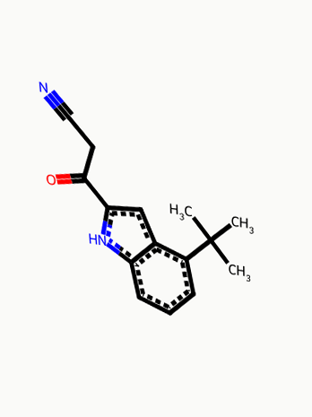 CC(C)(C)c1cccc2[nH]c(C(=O)CC#N)cc12